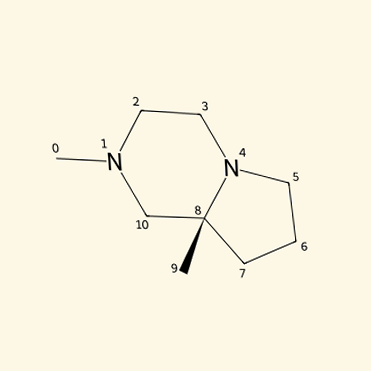 CN1CCN2CCC[C@]2(C)C1